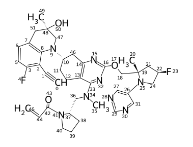 C#Cc1c(F)ccc2c1N([C@H]1CCc3c(nc(OC[C@]4(C)C[C@@H](F)CN4c4cncnc4)nc3N(C)C[C@@H]3CCCN3C(=O)C=C)C1)C[C@](C)(O)C2